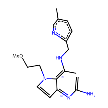 C=C(N)/N=C1/C=CN(CCOC)/C1=C(/C)NCc1ccc(C)cn1